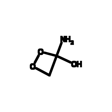 NC1(O)COO1